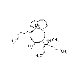 C=C/C=C\CCC1=C/C(O)C2(C/C=C\C=C/c3ccccc32)C\C=C/C(C(=C/C=C\C)/C(CCCCC)NC)=C\C(=C)/C=C\1